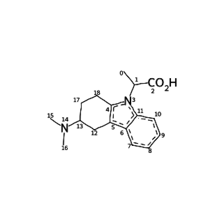 CC(C(=O)O)n1c2c(c3ccccc31)CC(N(C)C)CC2